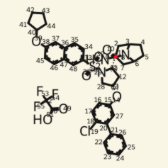 NC1CC2CCC(C1)N2C(=O)[C@@H]1C[C@H](Oc2ccc(Cl)c(-c3ccccc3)c2)CN1S(=O)(=O)c1ccc2cc(OC3CCCC3)ccc2c1.O=C(O)C(F)(F)F